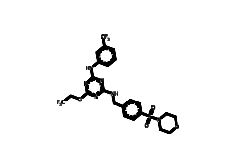 O=S(=O)(c1ccc(CNc2nc(Nc3cccc(C(F)(F)F)c3)nc(OCC(F)(F)F)n2)cc1)N1CCOCC1